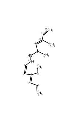 C=C/C=C(/C=C\NNC(N)/C=C(\C)C=C)CC